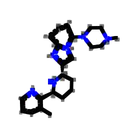 Cc1cccnc1[C@@H]1CCC[C@@H](c2cn3c(N4CCN(C)CC4)cccc3n2)N1